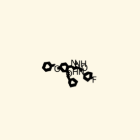 O=C(Nc1ccc(F)cc1)c1cc(-c2ccc(OCc3ccccc3)cc2OCc2ccccc2)n[nH]1